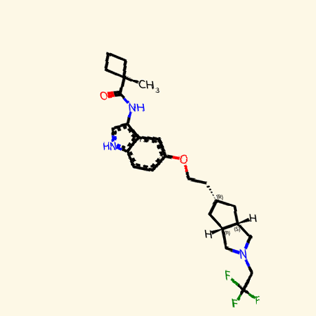 CC1(C(=O)Nc2c[nH]c3ccc(OCC[C@@H]4C[C@@H]5CN(CC(F)(F)F)C[C@@H]5C4)cc23)CCC1